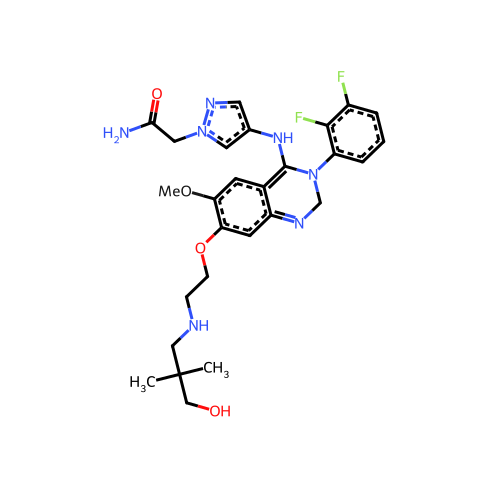 COc1cc2c(cc1OCCNCC(C)(C)CO)=NCN(c1cccc(F)c1F)C=2Nc1cnn(CC(N)=O)c1